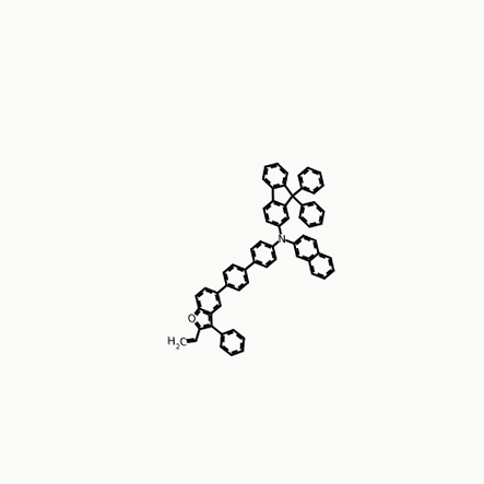 C=Cc1oc2ccc(-c3ccc(-c4ccc(N(c5ccc6c(c5)C(c5ccccc5)(c5ccccc5)c5ccccc5-6)c5ccc6ccccc6c5)cc4)cc3)cc2c1-c1ccccc1